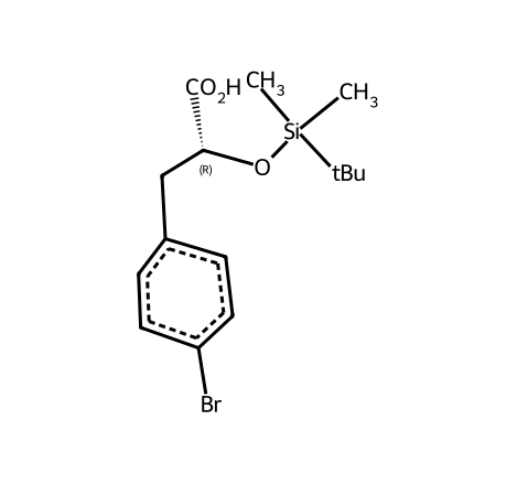 CC(C)(C)[Si](C)(C)O[C@H](Cc1ccc(Br)cc1)C(=O)O